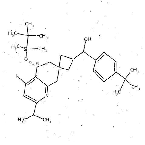 CC(C)c1cc(I)c2c(n1)CC1(CC(C(O)c3ccc(C(C)(C)C)cc3)C1)C[C@H]2O[Si](C)(C)C(C)(C)C